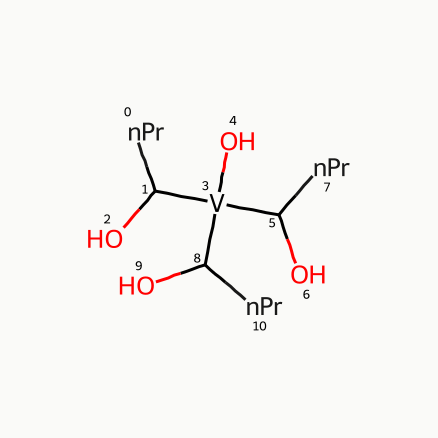 CCC[CH](O)[V]([OH])([CH](O)CCC)[CH](O)CCC